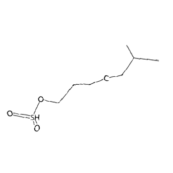 CC(C)CCCCCO[SH](=O)=O